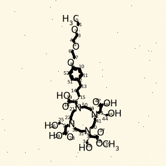 CCOCCOCCOc1ccc(CCC[C@@H](C(=O)O)N2CCN([C@@H](CO)C(=O)O)CCN([C@@H](CO)C(=O)OC)CCN([C@@H](CO)C(=O)O)CC2)cc1